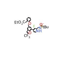 CCOC(=O)Cc1ccccc1OCc1cc(-c2ccnc(CN[S@+]([O-])C(C)(C)C)c2F)c2oc(C(F)(F)F)cc2c1